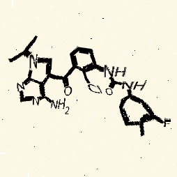 Cc1ccc(NC(=O)Nc2cccc(C(=O)c3cn(C(C)C)c4ncnc(N)c34)c2Cl)cc1F